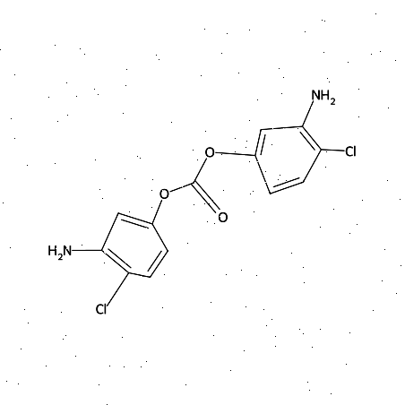 Nc1cc(OC(=O)Oc2ccc(Cl)c(N)c2)ccc1Cl